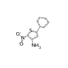 Nc1cc(-c2ccccc2)sc1[N+](=O)[O-]